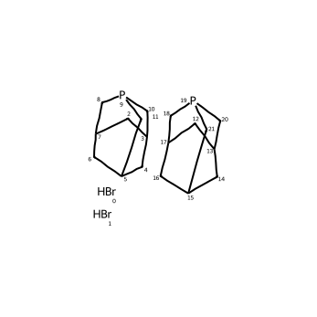 Br.Br.C1C2CC3CC1CP(C2)C3.C1C2CC3CC1CP(C2)C3